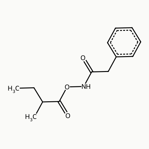 CCC(C)C(=O)ONC(=O)Cc1ccccc1